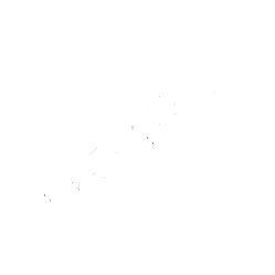 CCCCCn1c(-c2ccc(-n3ccnc3)cc2)cc2sc(C(=O)O)cc21